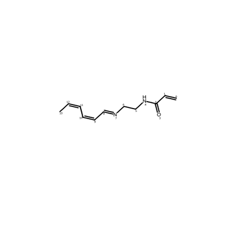 C=CC(=O)NCC/N=C/C=C\C=C/C